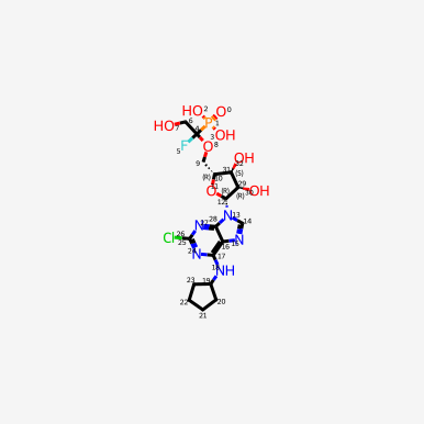 O=P(O)(O)C(F)(CO)OC[C@H]1O[C@@H](n2cnc3c(NC4CCCC4)nc(Cl)nc32)[C@H](O)[C@@H]1O